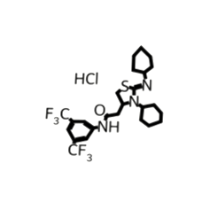 Cl.O=C(CC1CSC(=NC2CCCCC2)N1C1CCCCC1)Nc1cc(C(F)(F)F)cc(C(F)(F)F)c1